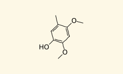 COc1cc(OC)c(O)cc1C